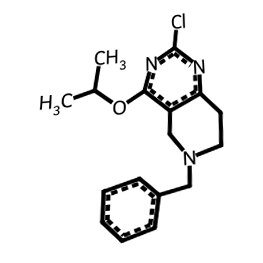 CC(C)Oc1nc(Cl)nc2c1CN(Cc1ccccc1)CC2